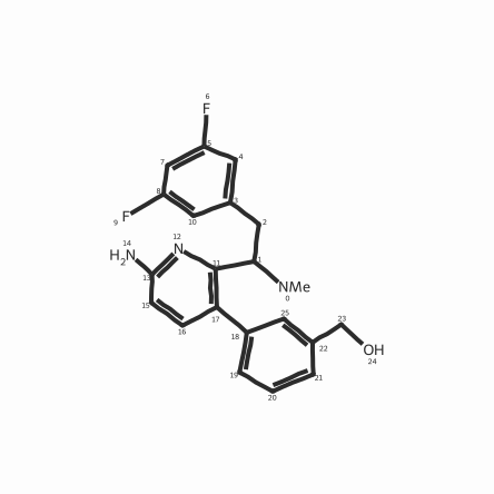 CNC(Cc1cc(F)cc(F)c1)c1nc(N)ccc1-c1cccc(CO)c1